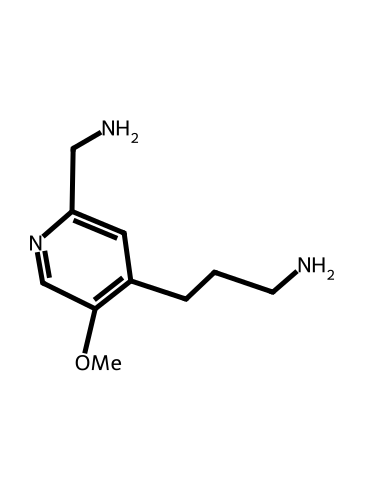 COc1cnc(CN)cc1CCCN